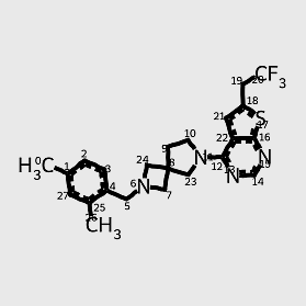 Cc1ccc(CN2CC3(CCN(c4ncnc5sc(CC(F)(F)F)cc45)C3)C2)c(C)c1